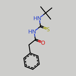 CC(C)(C)NC(=S)NC(=O)Cc1ccccc1